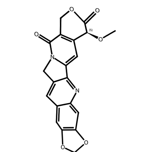 CO[C@@H]1C(=O)OCc2c1cc1n(c2=O)Cc2cc3cc4c(cc3nc2-1)OCO4